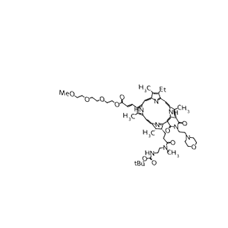 CCC1=C(C)c2cc3[nH]c(cc4nc(c5c6[nH]c(cc1n2)c(C)c6C(=O)N(CCN1CCOCC1)C5=O)[C@@H](CCC(=O)N(C)CCNC(=O)OC(C)(C)C)[C@@H]4C)c(C)c3/C=C/C(=O)OCCOCCOCCOC